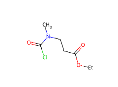 CCOC(=O)CCN(C)C(=O)Cl